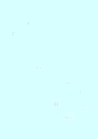 O=C(O)[C@H]1[C@@H]2OC3=CC(OCc4ccc(C(F)(F)F)cc4)=CCC3[C@@H]21